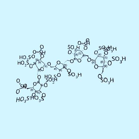 O=[SH](=O)OC[C@H]1O[C@@H](OC[C@H]2O[C@@H](OC[C@H]3O[C@H](CO[C@@H]4O[C@H](CO[C@@H]5O[C@H](COS(=O)(=O)O)[C@@H](OS(=O)(=O)O)[C@H](OS(=O)(=O)O)[C@H]5OS(=O)(=O)O)[C@@H](O[SH](=O)=O)C[C@H]4OS(=O)(=O)O)[C@@H](OS(=O)(=O)O)[C@@H]3OS(=O)(=O)O)[C@H](O[SH](=O)=O)[C@@H](OS(=O)(=O)O)[C@@H]2OS(=O)(=O)O)[C@H](OS(=O)(=O)O)[C@@H](OS(=O)(=O)O)[C@@H]1OS(=O)(=O)O